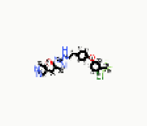 O=c1nc(NCCc2ccc(Oc3ccc(Cl)c(C(F)(F)F)c3)cc2)[nH]cc1Cc1ccnnc1